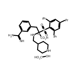 CC(C)c1cc(C(C)C)c(S(=O)(=O)[C@@](Cc2cccc(C(=N)N)c2)(NCC2CCNCC2)C(=O)O)c(C(C)C)c1.O=C(O)O